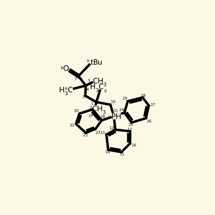 CC(C)(CC(C)(C)C(=O)C(C)(C)C)C[PH](c1ccccc1)(c1ccccc1)c1ccccc1